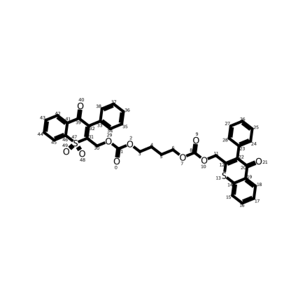 O=C(OCCCCOC(=O)OCc1sc2ccccc2c(=O)c1-c1ccccc1)OCC1=C(c2ccccc2)C(=O)c2ccccc2S1(=O)=O